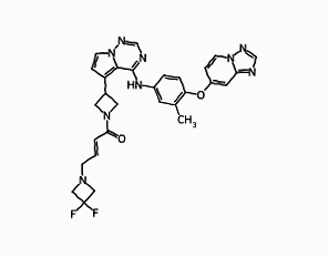 Cc1cc(Nc2ncnn3ccc(C4CN(C(=O)/C=C/CN5CC(F)(F)C5)C4)c23)ccc1Oc1ccn2ncnc2c1